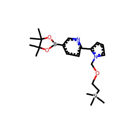 CC1(C)OB(c2ccc(-c3cccn3COCC[Si](C)(C)C)nc2)OC1(C)C